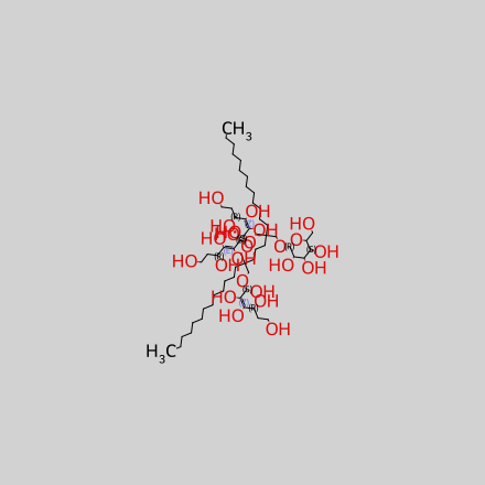 CCCCCCCCCCCCCC(CCCC(CCCCCCCCCCCCC)(CO[C@@H]1OC(CO)[C@@H](O)C(O)C1O)CO[C@H](O)/C(O)=C(\O)[C@H](O)CCO)(CO[C@H](O)/C(O)=C(/O)[C@H](O)CCO)CO[C@H](O)/C(O)=C(/O)[C@H](O)CCO